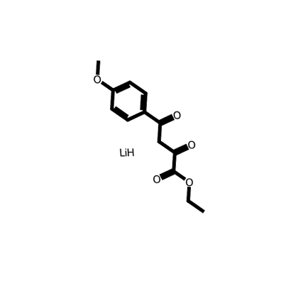 CCOC(=O)C(=O)CC(=O)c1ccc(OC)cc1.[LiH]